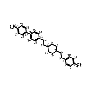 CCc1ccc(CCC2CCC(CCc3ccc(-c4ccc(Cl)cc4)cc3)CC2)cc1